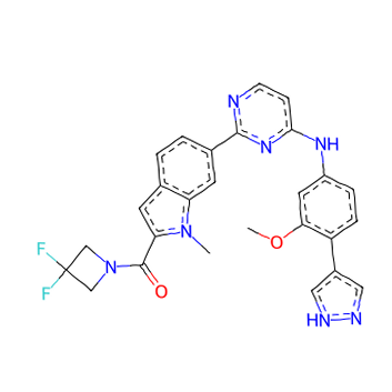 COc1cc(Nc2ccnc(-c3ccc4cc(C(=O)N5CC(F)(F)C5)n(C)c4c3)n2)ccc1-c1cn[nH]c1